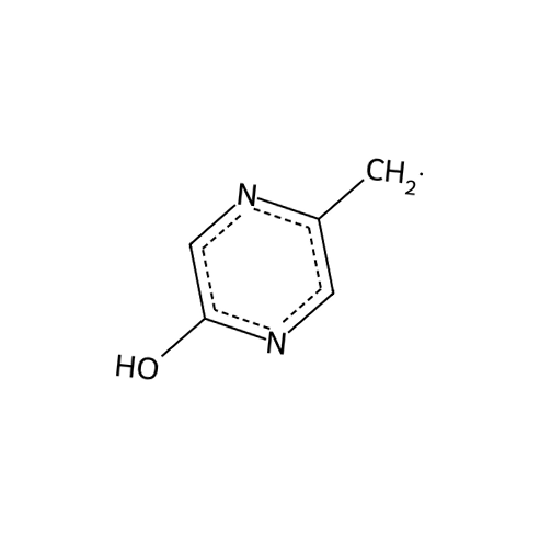 [CH2]c1cnc(O)cn1